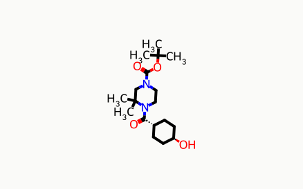 CC(C)(C)OC(=O)N1CCN(C(=O)[C@H]2CC[C@H](O)CC2)C(C)(C)C1